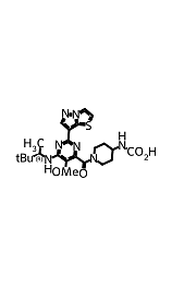 COc1c(N[C@H](C)C(C)(C)C)nc(-c2cnn3ccsc23)nc1C(=O)N1CCC(NC(=O)O)CC1